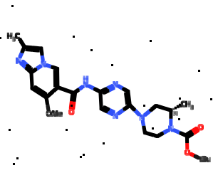 COc1cc2nc(C)cn2cc1C(=O)Nc1cnc(N2CCN(C(=O)OC(C)(C)C)[C@@H](C)C2)cn1